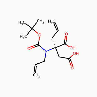 C=CCN(C(=O)OC(C)(C)C)[C@](CC=C)(CC(=O)O)C(=O)O